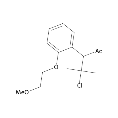 COCCOc1ccccc1C(C(C)=O)C(C)(C)Cl